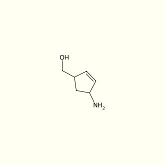 NC1C=CC(CO)C1